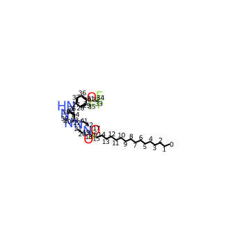 CCCCCCCCCCCCCCCCS(=O)(=O)N1CCN(c2cc(Nc3ccc(OC(F)(F)F)cc3)ncn2)CC1